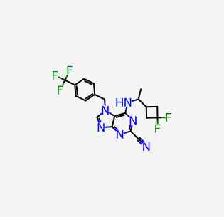 CC(Nc1nc(C#N)nc2ncn(Cc3ccc(C(F)(F)F)cc3)c12)C1CC(F)(F)C1